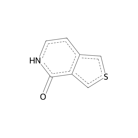 O=c1[nH]ccc2cscc12